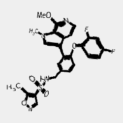 COc1nccc2c(-c3cc(CNS(=O)(=O)c4cnoc4C)ccc3Oc3ccc(F)cc3F)cn(C)c12